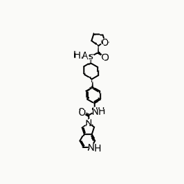 O=C([AsH][C@H]1CC[C@H](c2ccc(NC(=O)N3C=C4C=CNC=C4C3)cc2)CC1)[C@H]1CCCO1